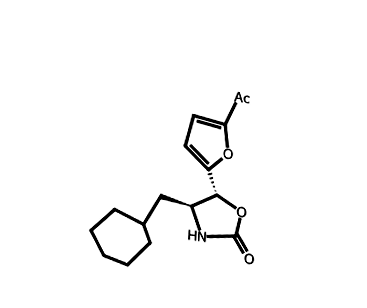 CC(=O)c1ccc([C@@H]2OC(=O)N[C@H]2CC2CCCCC2)o1